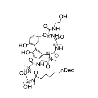 CCCCCCCCCCCCCCCC(=O)N(C)[C@H](CO)C(=O)N[C@H](C)C(=O)NCC(=O)N(C)[C@@H]1C(=O)N[C@@H](C)C(=O)N[C@H](C(=O)NCCO)Cc2ccc(O)c(c2)-c2cc1ccc2O